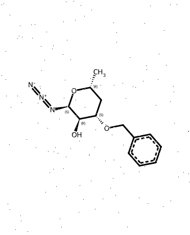 C[C@@H]1C[C@H](OCc2ccccc2)[C@@H](O)[C@@H](N=[N+]=[N-])O1